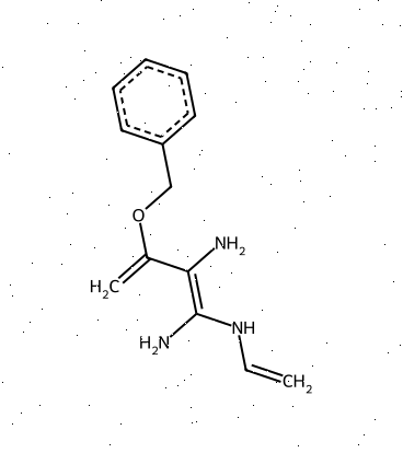 C=CN/C(N)=C(\N)C(=C)OCc1ccccc1